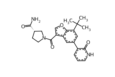 CC(C)(C)c1cc(-c2ccc[nH]c2=O)cc2c(C(=O)N3CC[C@H](C(N)=O)C3)coc12